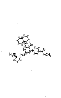 C=CC(=O)N1CCN(c2nc(OC[C@@H]3CCCN3C)nc3c2CCC2(CCCc4ccccc42)C3)CC1